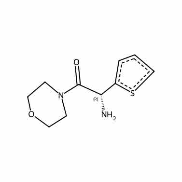 N[C@H](C(=O)N1CCOCC1)c1cccs1